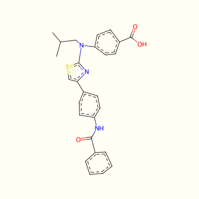 CC(C)CN(c1ccc(C(=O)O)cc1)c1nc(-c2ccc(NC(=O)c3ccccc3)cc2)cs1